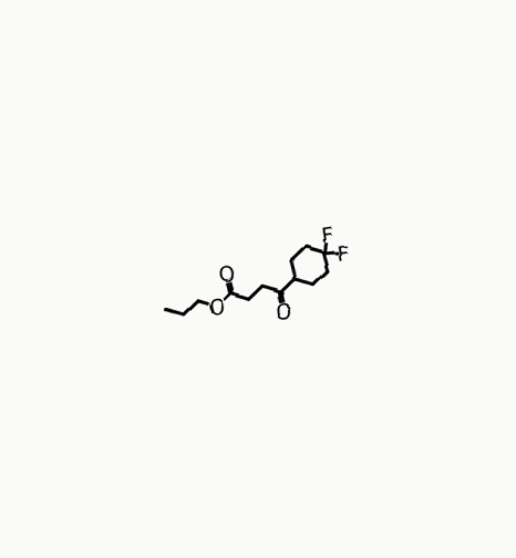 CCCOC(=O)CCC(=O)C1CCC(F)(F)CC1